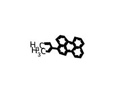 C/C=C\C(=C/C)c1ccc2c3cccc4cccc(c5cccc1c52)c43